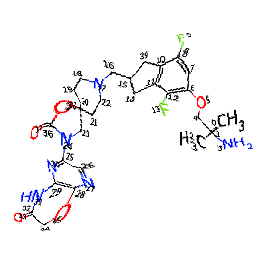 CC(C)(N)COc1cc(F)c2c(c1F)CC(CN1CCC3(CC1)CN(c1cnc4c(n1)NC(=O)CO4)C(=O)O3)C2